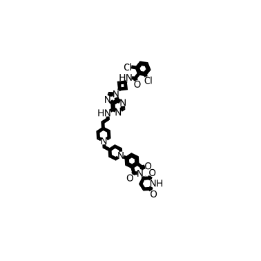 O=C1CC[C@H](N2C(=O)c3ccc(N4CCC(CN5CCC(CCNc6ncnc7c6ncn7C6CC(NC(=O)c7c(Cl)cccc7Cl)C6)CC5)CC4)cc3C2=O)C(=O)N1